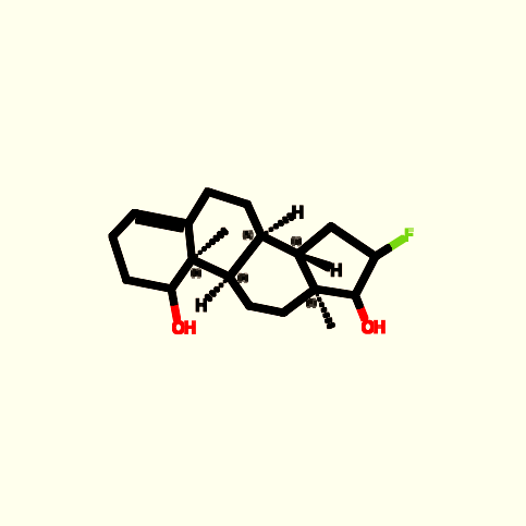 C[C@]12CC[C@@H]3[C@@H](CCC4=CCCC(O)[C@@]43C)[C@@H]1CC(F)C2O